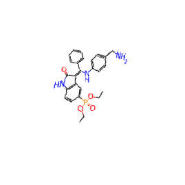 CCOP(=O)(OCC)c1ccc2c(c1)C(=C(Nc1ccc(CN)cc1)c1ccccc1)C(=O)N2